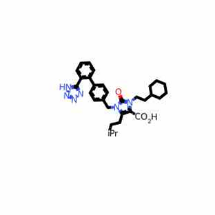 CC(C)CCc1c(C(=O)O)n(CCC2CCCCC2)c(=O)n1Cc1ccc(-c2ccccc2-c2nnn[nH]2)cc1